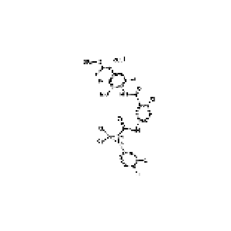 CC(C)(C)OC(=O)N(C(=O)O)c1cc(F)c(NC(=O)c2cc(NC(=O)[C@H]3[C@H](c4ccc(Cl)c(Cl)c4)C3(Cl)Cl)ccc2Cl)c(C(C)(C)C)c1F